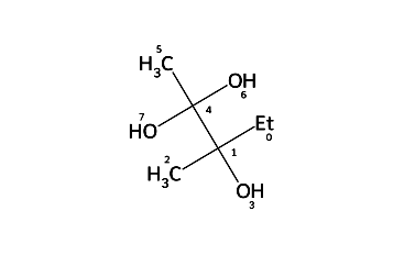 CCC(C)(O)C(C)(O)O